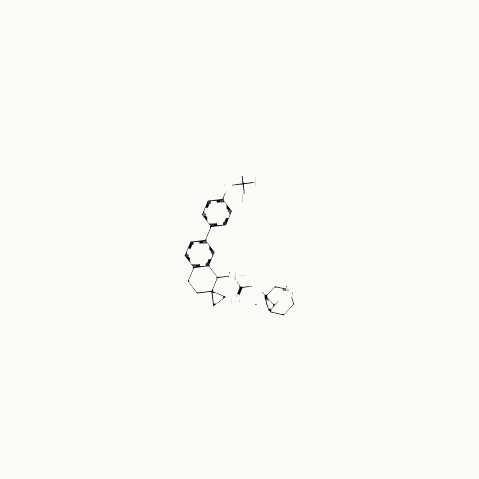 O=C(NC1c2cc(-c3ccc(OC(F)(F)F)cc3)ccc2CCC12CC2)O[C@H]1CN2CCC1CC2